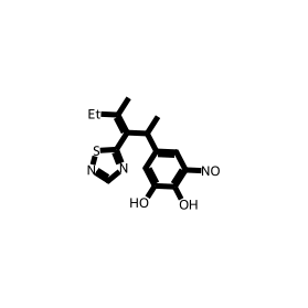 CC/C(C)=C(\c1ncns1)C(C)c1cc(O)c(O)c(N=O)c1